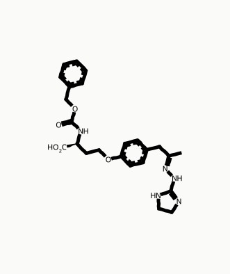 CC(Cc1ccc(OCC[C@H](NC(=O)OCc2ccccc2)C(=O)O)cc1)=NNC1=NCCN1